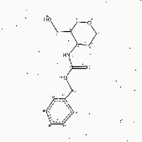 O=C(NC1CCOCC1CO)OCc1ccccc1